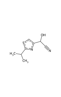 CC(C)c1nc(C(O)C#N)cs1